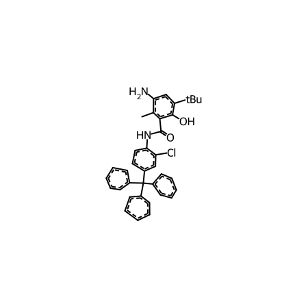 Cc1c(N)cc(C(C)(C)C)c(O)c1C(=O)Nc1ccc(C(c2ccccc2)(c2ccccc2)c2ccccc2)cc1Cl